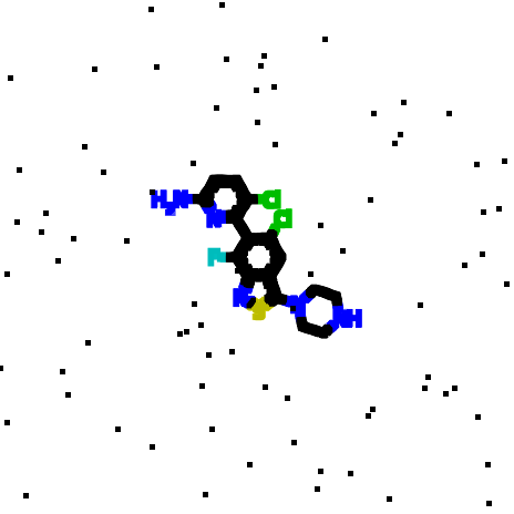 Nc1ccc(Cl)c(-c2c(Cl)cc3c(N4CCNCC4)snc3c2F)n1